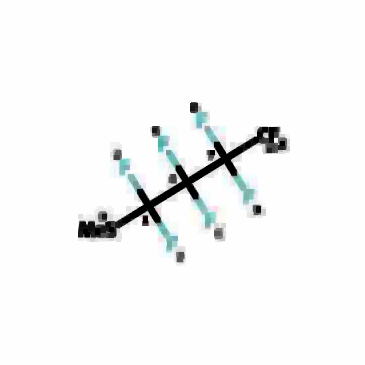 CSC(F)(F)C(F)(F)C(F)(F)C(F)(F)F